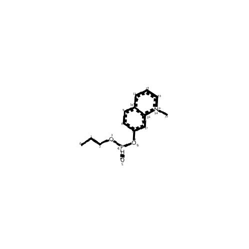 CCCO[PH](=O)Oc1ccc2ccc[n+](C)c2c1